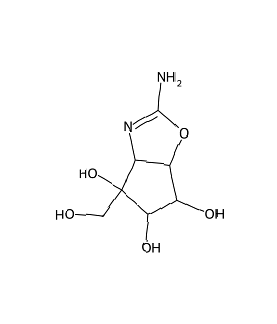 NC1=NC2C(O1)C(O)C(O)C2(O)CO